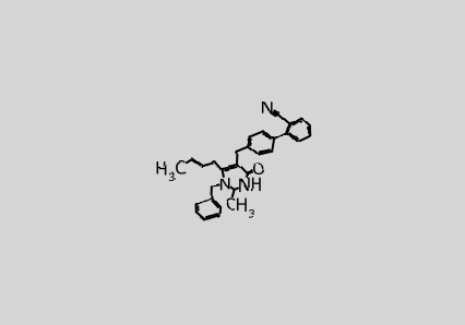 CCCCC1=C(Cc2ccc(-c3ccccc3C#N)cc2)C(=O)NC(C)N1Cc1ccccc1